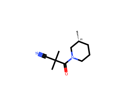 C[C@@H]1CCCN(C(=O)C(C)(C)C#N)C1